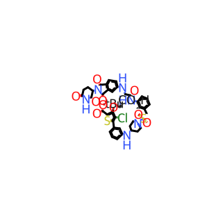 CC(C)(C)OC(=O)c1sc(-c2cccc(NC3CCN(S(=O)(=O)Cc4cccc(NC(=O)CNc5ccc6c(c5)C(=O)N(C5CCC(=O)NC5=O)C6=O)c4)CC3)c2)c(Cl)c1OCC(=O)O